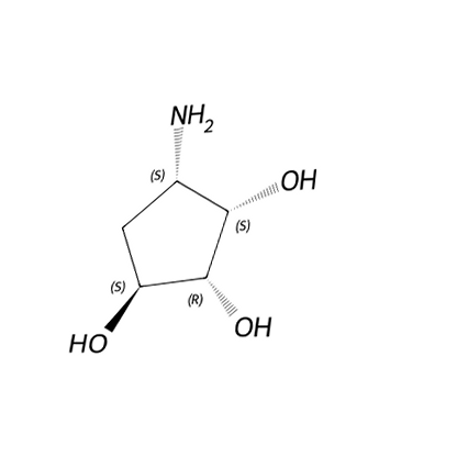 N[C@H]1C[C@H](O)[C@@H](O)[C@H]1O